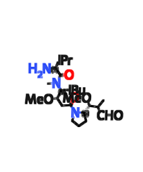 CCC(C)[C@@H](C(CC(=O)N1CCC[C@H]1C(OC)C(C)C=O)OC)N(C)C(=O)[C@@H](N)C(C)C